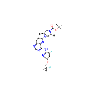 CC(C)(C)OC(=O)N1C[C@@H]2C[C@H]1CN2c1ccc2ncnc(Nc3ncc(OCC4(F)CC4)cc3F)c2n1